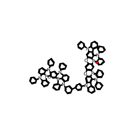 O=P12c3ccccc3N(c3ccccc3)c3cccc(c31)N(c1ccccc1)c1cc3c(cc12)B1c2ccccc2N(c2cccc(-c4ccc(-n5c6ccccc6c6c7c8c(cc65)Oc5cc6c(cc5P8(=O)c5ccccc5N7c5ccccc5)P5(=O)c7ccccc7N(c7ccccc7)c7c5c(cc5c7c7ccccc7n5-c5ccccc5)O6)cc4)c2)c2cccc(c21)N3c1ccccc1